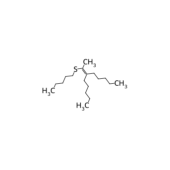 CCCCCSC(C)=C(CCCCC)CCCCC